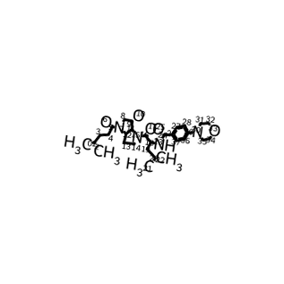 CC(C)CCC(=O)N1CC(=O)C2C1CCN2C(=O)C(CC(C)C)NC(=O)c1ccc(N2CCOCC2)cc1